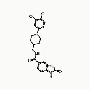 O=C(NCC1CCN(c2ccc(Cl)c(Cl)c2)CC1)c1ccc2[nH]c(=O)oc2c1